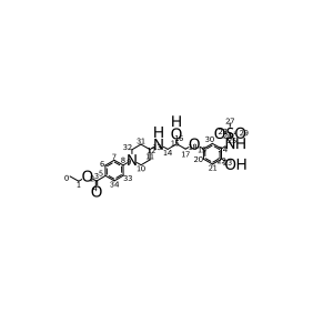 CCOC(=O)c1ccc(N2CCC(NCC(O)COc3ccc(O)c(NS(C)(=O)=O)c3)CC2)cc1